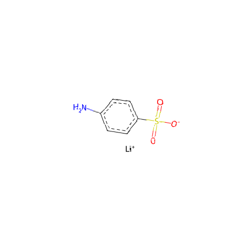 Nc1ccc(S(=O)(=O)[O-])cc1.[Li+]